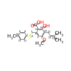 COc1cc(CSc2ccc(C)cc2)c(C(=O)O)c(O)c1CC=C(C)C